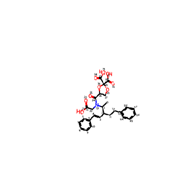 CC(C(C=Cc1ccccc1)CCc1ccccc1)N(CC(=O)O)C(=O)C1COC(C(=O)O)(C(=O)O)O1